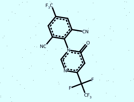 N#Cc1cc(C(F)(F)F)cc(C#N)c1-n1cnc(C(F)(F)C(F)(F)F)cc1=O